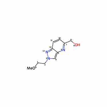 COCCn1cc2nc(CO)ccc2n1